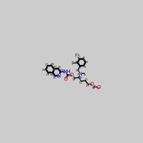 CN(Cc1cccc(F)c1F)[C@@H](CCCOP=O)COC(=O)Nc1cc2ccccc2cn1